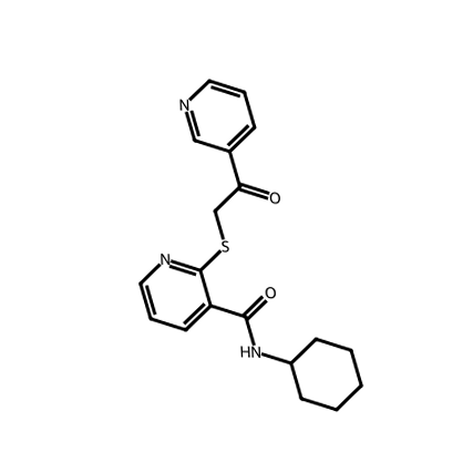 O=C(CSc1ncccc1C(=O)NC1CCCCC1)c1cccnc1